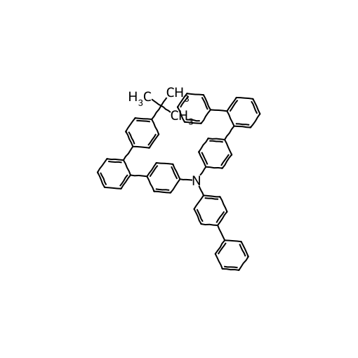 CC(C)(C)c1ccc(-c2ccccc2-c2ccc(N(c3ccc(-c4ccccc4)cc3)c3ccc(-c4ccccc4-c4ccccc4)cc3)cc2)cc1